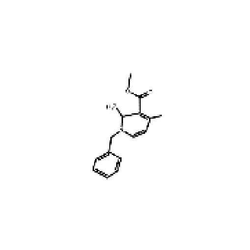 COC(=O)C1=C(C)C=CN(Cc2ccccc2)C1N